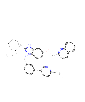 O=C(O)[C@H]1CCCC[C@H]1c1nc2cc(OCc3ccc4ccccc4n3)ccc2n1Cc1cccc(-c2ccc(C(F)(F)F)nc2)c1